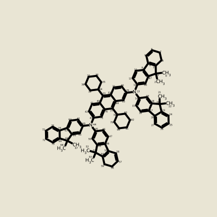 CC1(C)C2=C(C=CCC2)c2ccc(N(c3ccc4c(c3)C(C)(C)c3ccccc3-4)c3ccc4c(C5CCCCC5)c5ccc(N(c6ccc7c(c6)C(C)(C)C6=C7C=CCC6)c6ccc7c(c6)C(C)(C)c6ccccc6-7)cc5c(C5CCCCC5)c4c3)cc21